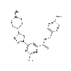 COc1ccc(CNC(=O)c2cc(C3=NOC(C4CCN(C(C)(C)C)CC4)C3)nc(C)n2)cc1